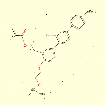 C=C(C)C(=O)OCCc1cc(-c2ccc(-c3ccc(CCCCC)cc3)cc2CC)ccc1OCCO[Si](C)(C)C(C)(C)C